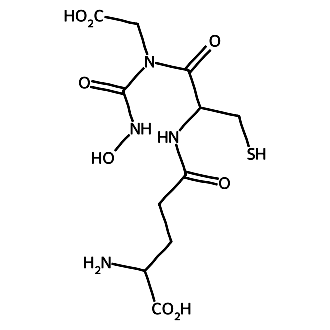 NC(CCC(=O)NC(CS)C(=O)N(CC(=O)O)C(=O)NO)C(=O)O